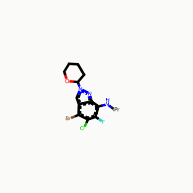 CC(C)Nc1c(F)c(Cl)c(Br)c2cn(C3CCCCO3)nc12